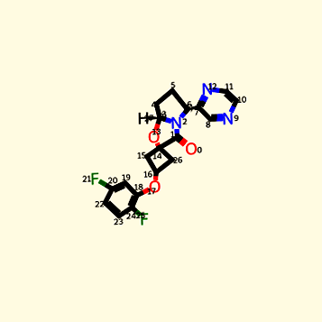 O=C1N2[C@@H](CC[C@H]2c2cnccn2)OC12CC(Oc1cc(F)ccc1F)C2